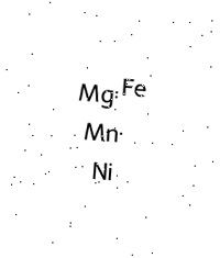 [Fe].[Mg].[Mn].[Ni]